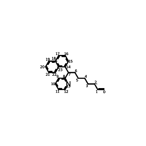 C=C[CH]CCCCC(c1ccccn1)c1cccc2ccccc12